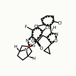 O=C(Cc1c(-c2c(Cl)cccc2Cl)noc1C1CC1)O[C@H]1C[C@H]2CC[C@@H](C1)N2c1nc2c(F)cc(C(=O)O)cc2s1